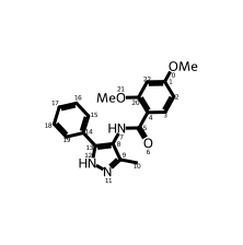 COc1ccc(C(=O)Nc2c(C)n[nH]c2-c2ccccc2)c(OC)c1